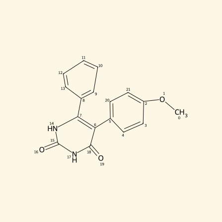 COc1ccc(-c2c(-c3ccccc3)[nH]c(=O)[nH]c2=O)cc1